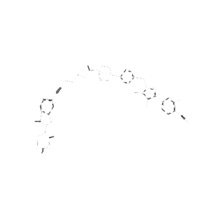 Cc1c(-c2ccc(C#N)c(Cl)c2)nn(Cc2ccc(N3CCN(C(=O)CCCCC#Cc4ccc5c(c4)CN(C4CCC(=O)NC4=O)C5=O)CC3)cc2)c1C